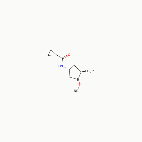 CCOC(=O)[C@@H]1C[C@@H](NC(=O)C2CC2)CB1OC#N